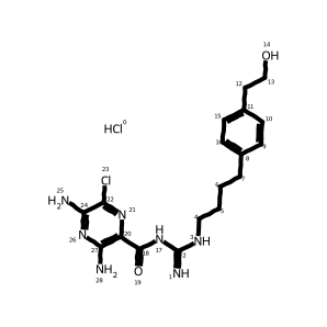 Cl.N=C(NCCCCc1ccc(CCO)cc1)NC(=O)c1nc(Cl)c(N)nc1N